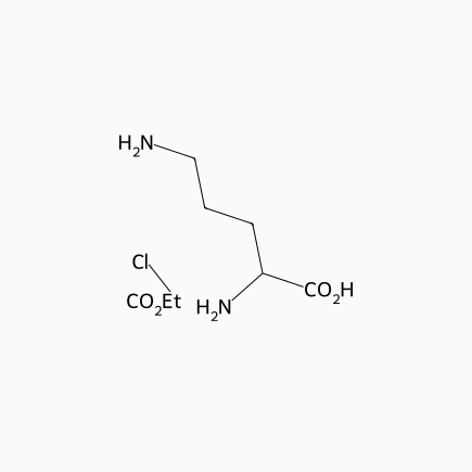 CCOC(=O)Cl.NCCCC(N)C(=O)O